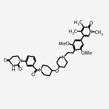 COc1cc(-c2cn(C)c(=O)c(C)c2C)cc(OC)c1CCN1CCC(OC2CCN(C(=O)c3cccc(N4CCC(=O)NC4=O)c3)CC2)CC1